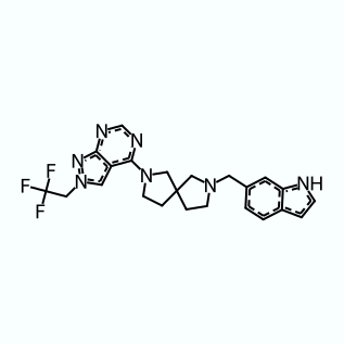 FC(F)(F)Cn1cc2c(N3CCC4(CCN(Cc5ccc6cc[nH]c6c5)C4)C3)ncnc2n1